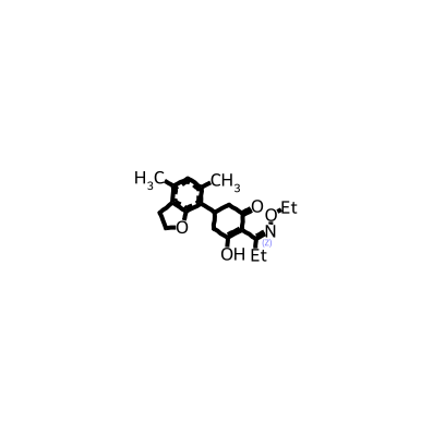 CCO/N=C(/CC)C1=C(O)CC(c2c(C)cc(C)c3c2OCC3)CC1=O